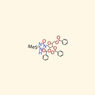 CSC1=NC(=O)N(C2OC(COC(=O)c3ccccc3)C(OC(=O)c3ccccc3)C2OC(=O)c2ccccc2)CN1